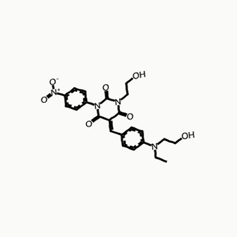 CCN(CCO)c1ccc(C=C2C(=O)N(CCO)C(=O)N(c3ccc([N+](=O)[O-])cc3)C2=O)cc1